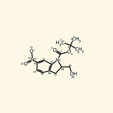 CC(C)(C)OC(=O)N1c2cc([N+](=O)[O-])ccc2CC1CO